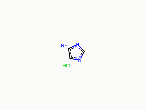 Cl.N.c1c[nH]cn1